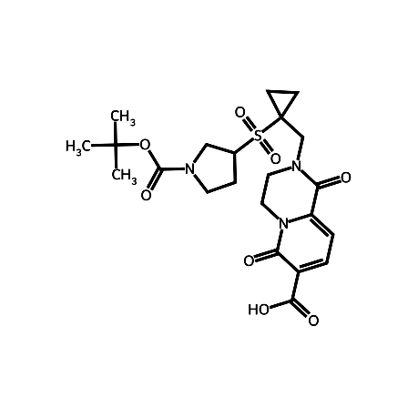 CC(C)(C)OC(=O)N1CCC(S(=O)(=O)C2(CN3CCn4c(ccc(C(=O)O)c4=O)C3=O)CC2)C1